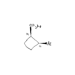 CC(=O)[C@H]1CC[C@H]1C(=O)O